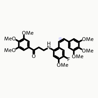 COc1cc(NCCC(=O)c2cc(OC)c(OC)c(OC)c2)c(/C=C\c2cc(OC)c(OC)c(OC)c2)cc1F